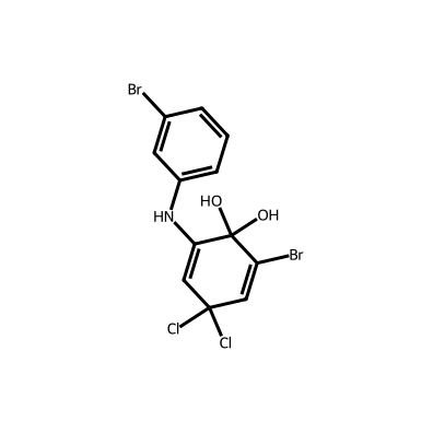 OC1(O)C(Br)=CC(Cl)(Cl)C=C1Nc1cccc(Br)c1